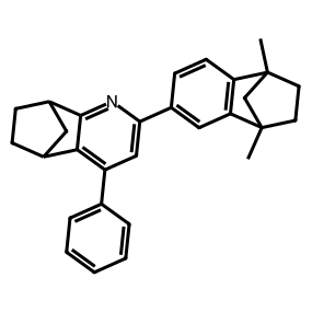 CC12CCC(C)(C1)c1cc(-c3cc(-c4ccccc4)c4c(n3)C3CCC4C3)ccc12